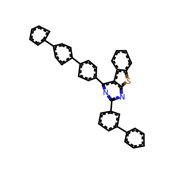 c1ccc(-c2ccc(-c3ccc(-c4nc(-c5cccc(-c6ccccc6)c5)nc5sc6ccccc6c45)cc3)cc2)cc1